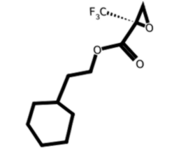 O=C(OCCC1CCCCC1)[C@@]1(C(F)(F)F)CO1